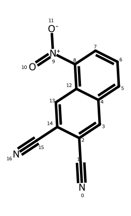 N#Cc1cc2cccc([N+](=O)[O-])c2cc1C#N